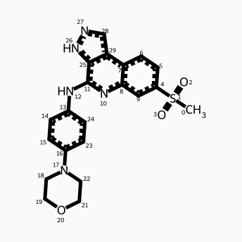 CS(=O)(=O)c1ccc2c(c1)nc(Nc1ccc(N3CCOCC3)cc1)c1[nH]ncc12